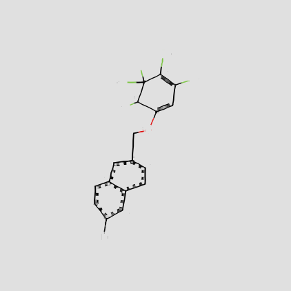 CCc1ccc2cc(COC3=CC(F)=C(F)C(F)(F)C3F)ccc2c1